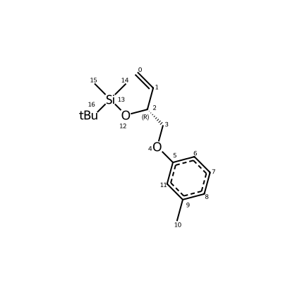 C=C[C@H](COc1cccc(C)c1)O[Si](C)(C)C(C)(C)C